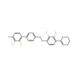 Cc1ccc(-c2ccc(CCc3ccc(C4=CCCCC4)c(F)c3F)cc2)c(F)c1F